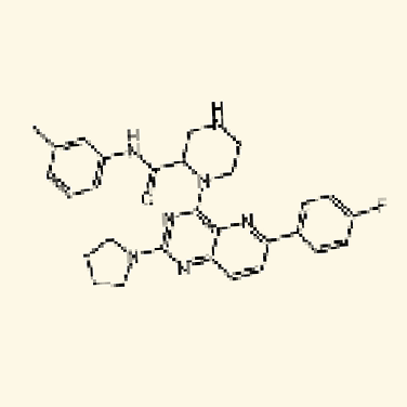 Cc1cccc(NC(=O)C2CNCCN2c2nc(N3CCCC3)nc3ccc(-c4ccc(F)cc4)nc23)c1